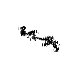 Cc1ncsc1-c1ccc(C(C)NC(=O)C2CC(O)CN2C(=O)C(NC(=O)CCCCCCCCC(=O)N(C)CCCN(C)c2ccc(CCOc3cc(-c4ccccc4O)nnc3N)cc2)C(C)(C)C)cc1